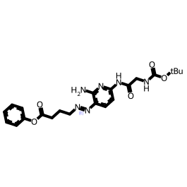 CC(C)(C)OC(=O)NCC(=O)Nc1ccc(/N=N/CCCC(=O)Oc2ccccc2)c(N)n1